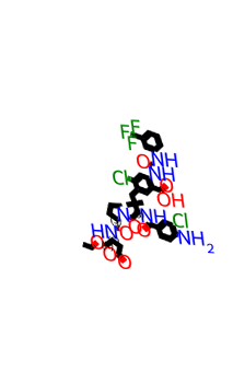 CCO[C@@H]1OC(=O)C[C@@H]1NC(=O)[C@@H]1CCCN1C(=O)[C@@H](NC(=O)c1ccc(N)c(Cl)c1)C(C)(C)Cc1cc(C(=O)O)c(NC(=O)Nc2cccc(C(F)(F)F)c2)cc1Cl